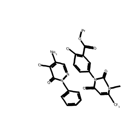 CC(C)OC(=O)c1cc(-n2c(=O)cc(C(F)(F)F)n(C)c2=O)ccc1Cl.Nc1cnn(-c2ccccc2)c(=O)c1Cl